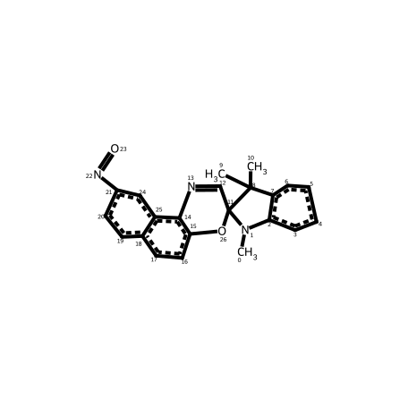 CN1c2ccccc2C(C)(C)C12C=Nc1c(ccc3ccc(N=O)cc13)O2